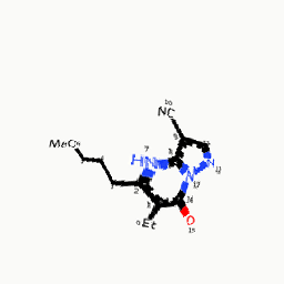 CCc1c(CCCOC)[nH]c2c(C#N)cnn2c1=O